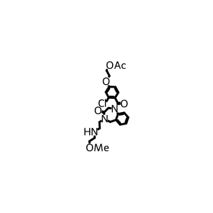 COCCNCCN1Cc2ccccc2N(C(=O)c2ccc(OCCOC(C)=O)cc2Cl)CC1=O